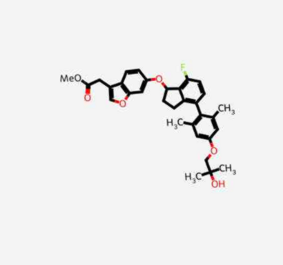 COC(=O)Cc1coc2cc(OC3CCc4c(-c5c(C)cc(OCC(C)(C)O)cc5C)ccc(F)c43)ccc12